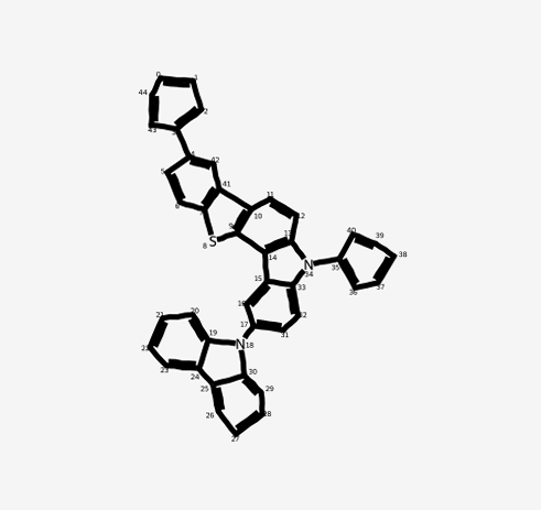 c1ccc(-c2ccc3sc4c(ccc5c4c4cc(-n6c7ccccc7c7ccccc76)ccc4n5-c4ccccc4)c3c2)cc1